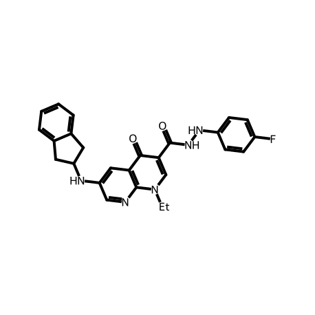 CCn1cc(C(=O)NNc2ccc(F)cc2)c(=O)c2cc(NC3Cc4ccccc4C3)cnc21